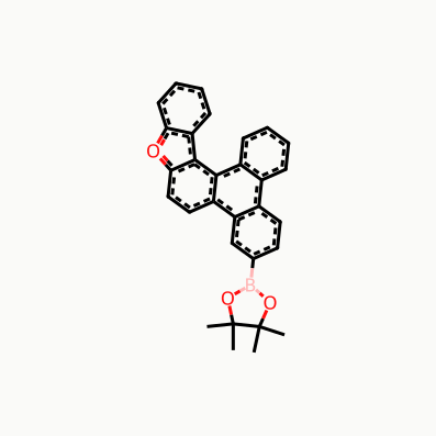 CC1(C)OB(c2ccc3c4ccccc4c4c(ccc5oc6ccccc6c54)c3c2)OC1(C)C